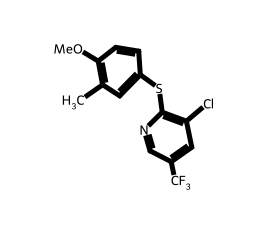 COc1ccc(Sc2ncc(C(F)(F)F)cc2Cl)cc1C